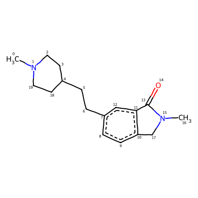 CN1CCC(CCc2ccc3c(c2)C(=O)N(C)C3)CC1